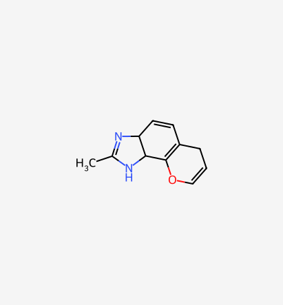 CC1=NC2C=CC3=C(OC=CC3)C2N1